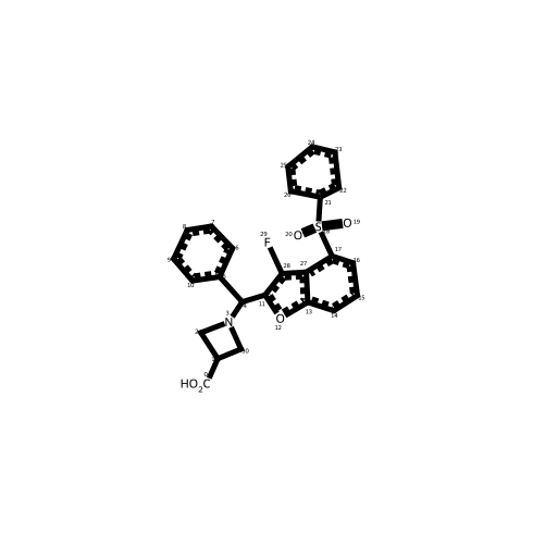 O=C(O)C1CN(C(c2ccccc2)c2oc3cccc(S(=O)(=O)c4ccccc4)c3c2F)C1